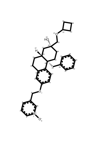 [O-][n+]1cccc(COc2ccc3c(c2)CC[C@@H]2C[C@@](O)(COC4CCC4)CC[C@@]32Cc2ccccc2)c1